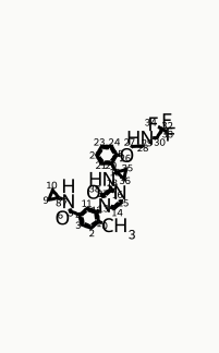 Cc1ccc(C(=O)NC2CC2)cc1-n1ccnc(NC2(c3ccccc3OCCNCC(F)(F)F)CC2)c1=O